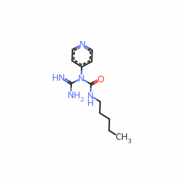 CCCCCNC(=O)N(C(=N)N)c1ccncc1